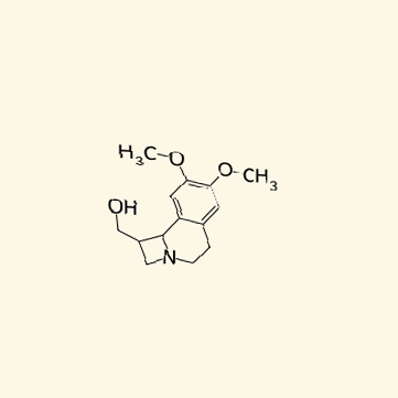 COc1cc2c(cc1OC)C1C(CO)CN1CC2